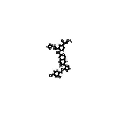 COC(=O)c1ccc(NC(=O)Cc2cc(F)c(-c3scnc3OCc3ccc(Cl)cc3F)cc2F)c(NC[C@@H]2CCO2)c1